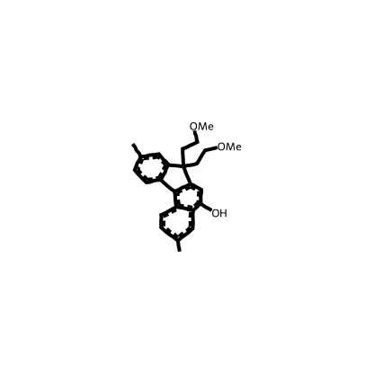 COCCC1(CCOC)c2cc(C)ccc2-c2c1cc(O)c1cc(C)ccc21